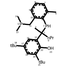 CCCC(C)(Pc1c(C)cccc1CP(C)C)c1cc(C(C)(C)C)cc(C(C)(C)C)c1O